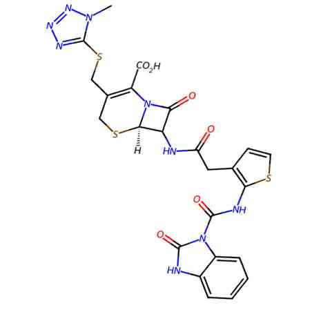 Cn1nnnc1SCC1=C(C(=O)O)N2C(=O)C(NC(=O)Cc3ccsc3NC(=O)n3c(=O)[nH]c4ccccc43)[C@H]2SC1